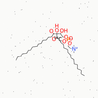 CCCCCCCCCCCCCCCC(=O)C(O)(C(=O)[14CH2]CCCCCCCCCCCCCC)[C@@H](O)COP(=O)([O-])OCC[N+](C)(C)C